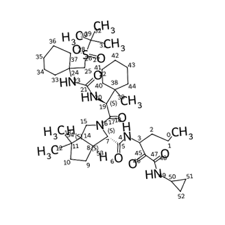 CCCC(NC(=O)[C@@H]1[C@H]2CCC(C)(C)[C@H]2CN1C(=O)[C@@H](NC(=O)NC1(CS(=O)(=O)C(C)(C)C)CCCCC1)C1(C)CCCCC1)C(=O)C(=O)NC1CC1